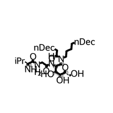 CCCCCCCCCCCCCCN(C(=O)CCCCCCCCCCC)[C@@H]1O[C@H](CO)[C@@H](O)[C@H](O)[C@H]1NC(=O)CNC(=O)[C@@H](N)C(C)C